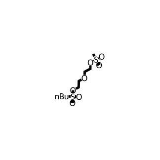 CCCCS(=O)(=O)OCCOCCOS(C)(=O)=O